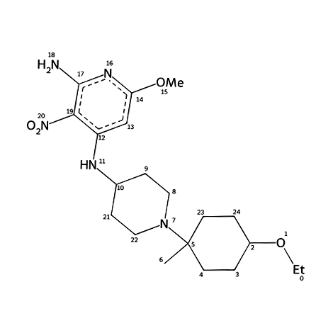 CCOC1CCC(C)(N2CCC(Nc3cc(OC)nc(N)c3[N+](=O)[O-])CC2)CC1